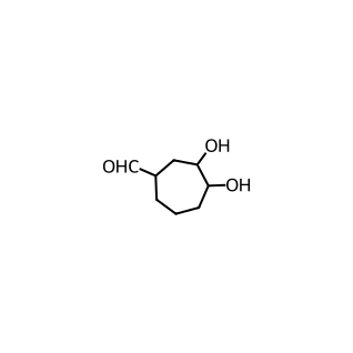 O=CC1CCCC(O)C(O)C1